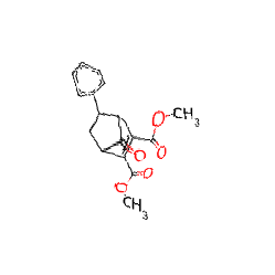 COC(=O)C1=C(C(=O)OC)C2C(=O)C1CC2c1ccccc1